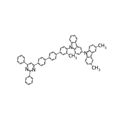 Cc1ccc2c(c1)c1cc(C)ccc1n2-c1ccc2c(c1)c1ccccc1n2-c1ccc(-c2ccc(-c3ccc(-c4cc(-c5ccccc5)nc(-c5ccccc5)n4)cc3)cc2)cc1C